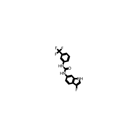 O=C(Nc1cccc(C(F)(F)F)c1)Nc1ccc2c(F)c[nH]c2c1